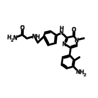 Cc1c(N)cccc1-c1cn(C)c(=O)c(Nc2ccc(CNCC(N)=O)cc2)n1